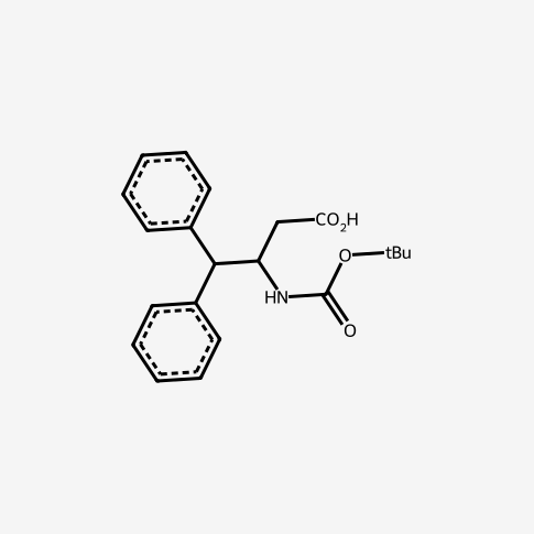 CC(C)(C)OC(=O)NC(CC(=O)O)C(c1ccccc1)c1ccccc1